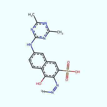 [2H]/N=N\c1c(S(=O)(=O)O)cc2cc(Nc3nc(C)nc(C)n3)ccc2c1O